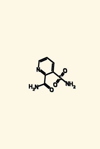 NC(=O)c1ncccc1S(N)(=O)=O